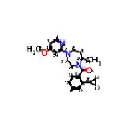 COc1ccnc(N2CC[C@@H](C)N(C(=O)c3ccccc3C3CC3)CC2)c1